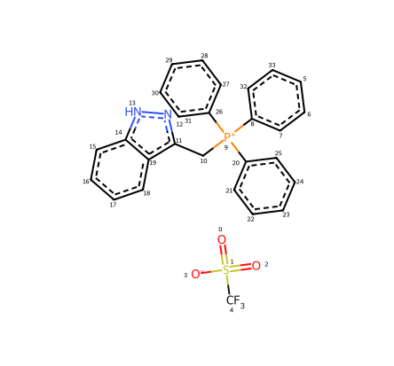 O=S(=O)([O-])C(F)(F)F.c1ccc([P+](Cc2n[nH]c3ccccc23)(c2ccccc2)c2ccccc2)cc1